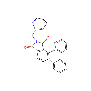 O=C1c2ccc(-c3ccccc3)c(-c3ccccc3)c2C(=O)N1Cc1ccccn1